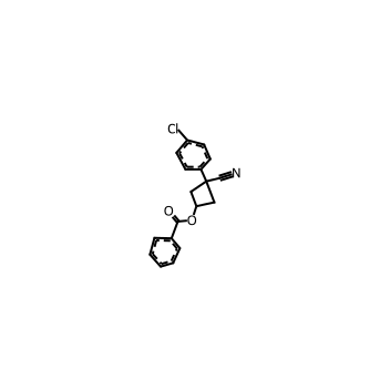 N#CC1(c2ccc(Cl)cc2)CC(OC(=O)c2ccccc2)C1